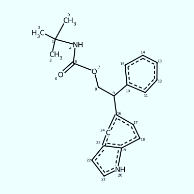 CC(C)(C)NC(=O)OCC(c1ccccc1)c1ccc2[nH]ccc2c1